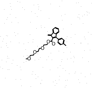 C=C1C(C(=O)OCCOCCOCCOC)=C(c2ccc(C)cc2)c2ccccc21